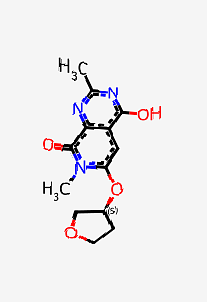 Cc1nc(O)c2cc(O[C@H]3CCOC3)n(C)c(=O)c2n1